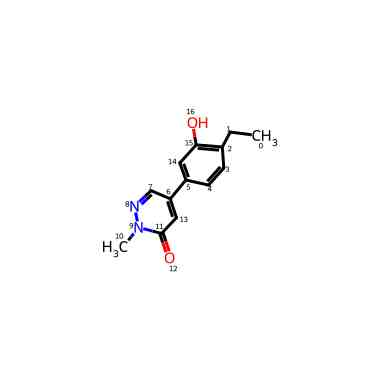 CCc1ccc(-c2cnn(C)c(=O)c2)cc1O